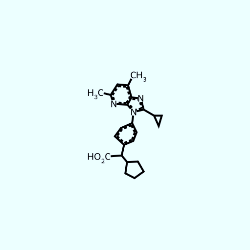 Cc1cc(C)c2nc(C3CC3)n(-c3ccc(C(C(=O)O)C4CCCC4)cc3)c2n1